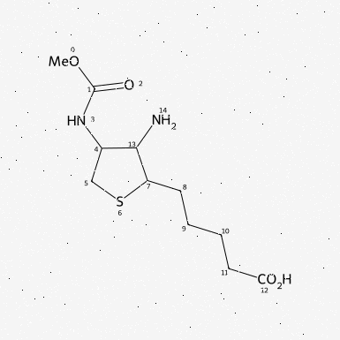 COC(=O)NC1CSC(CCCCC(=O)O)C1N